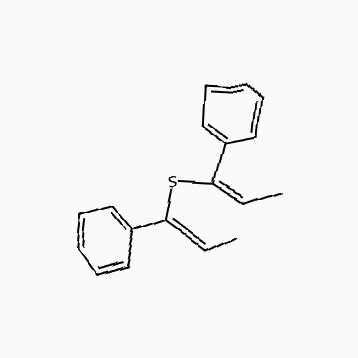 CC=C(SC(=CC)c1ccccc1)c1ccccc1